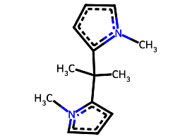 Cn1cccc1C(C)(C)c1cccn1C